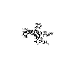 CC(C)OC(=O)[C@H](CCC(=O)C=[N+]=[N-])NC(=O)[C@H](Cc1c[nH]c2ccccc12)NC(=O)CN1CCCC1